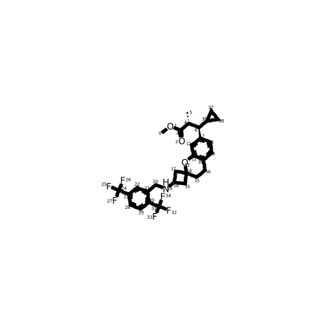 COC(=O)[C@H](C)[C@H](c1ccc2c(c1)OC1(CC2)CC(NCc2cc(C(F)(F)F)ccc2C(F)(F)F)C1)C1CC1